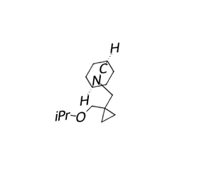 CC(C)OCC1(CN2C[C@H]3CC[C@@H]2CC3)CC1